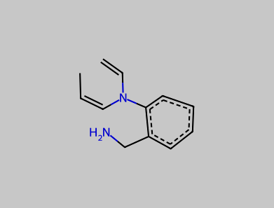 C=CN(/C=C\C)c1ccccc1CN